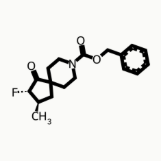 C[C@@H]1CC2(CCN(C(=O)OCc3ccccc3)CC2)C(=O)[C@H]1F